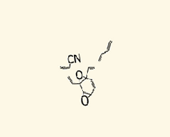 C=CC#N.C=CC12C=CC3OC3C1(C=C)O2.C=CC=C